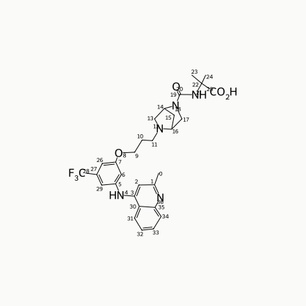 Cc1cc(Nc2cc(OCCCN3CC4CC3CN4C(=O)NC(C)(C)C(=O)O)cc(C(F)(F)F)c2)c2ccccc2n1